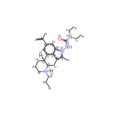 C=C(C)c1cc2c3c(c(C)n(NC(=O)N(CC)CC)c3c1)C[C@@H]1[C@@H]2CCCN1CCC